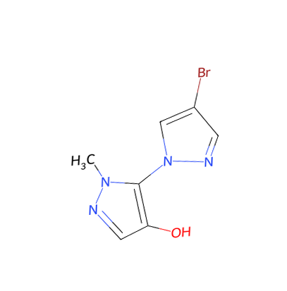 Cn1ncc(O)c1-n1cc(Br)cn1